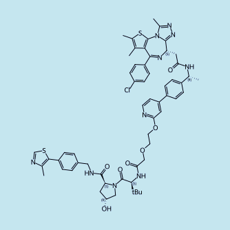 Cc1ncsc1-c1ccc(CNC(=O)[C@@H]2C[C@@H](O)CN2C(=O)[C@@H](NC(=O)COCCOc2cc(-c3ccc([C@@H](C)NC(=O)C[C@@H]4N=C(c5ccc(Cl)cc5)c5c(sc(C)c5C)-n5c(C)nnc54)cc3)ccn2)C(C)(C)C)cc1